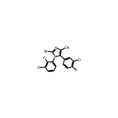 N#Cc1nc(Br)n(-c2cccc(Cl)c2F)c1-c1ccc(F)c(Cl)c1